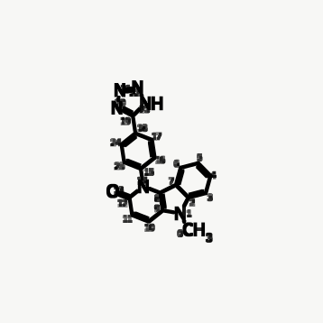 Cn1c2ccccc2c2c1ccc(=O)n2-c1ccc(-c2nnn[nH]2)cc1